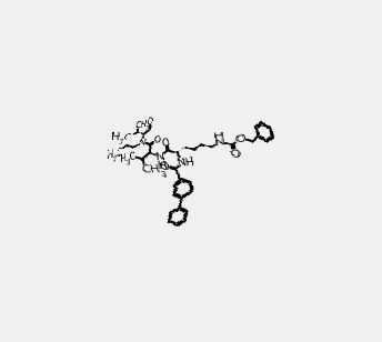 CCCN(C(=O)[C@@H](NC(=O)[C@H](CCCCNC(=O)OCc1ccccc1)NC(=O)c1ccc(-c2ccccc2)cc1)C(C)C)[C@H](C=O)C(C)C